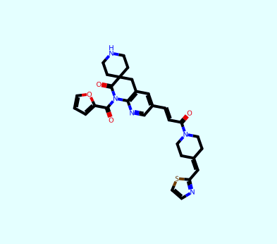 O=C(/C=C/c1cnc2c(c1)CC1(CCNCC1)C(=O)N2C(=O)c1ccco1)N1CCC(=Cc2nccs2)CC1